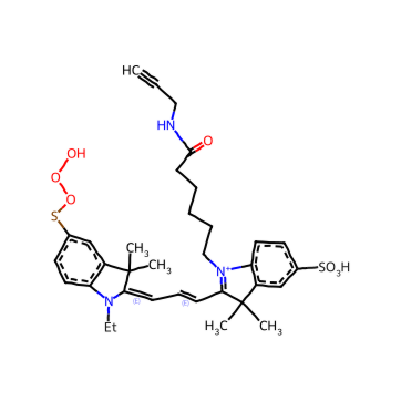 C#CCNC(=O)CCCCC[N+]1=C(/C=C/C=C2/N(CC)c3ccc(SOOO)cc3C2(C)C)C(C)(C)c2cc(S(=O)(=O)O)ccc21